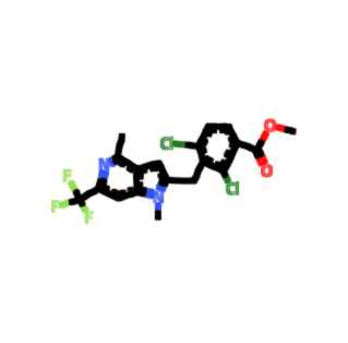 COC(=O)c1ccc(Cl)c(Cc2cc3c(C)nc(C(F)(F)F)cc3n2C)c1Cl